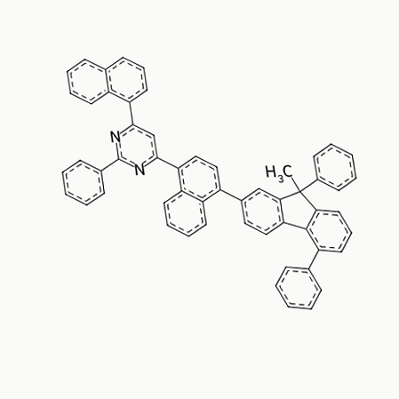 CC1(c2ccccc2)c2cc(-c3ccc(-c4cc(-c5cccc6ccccc56)nc(-c5ccccc5)n4)c4ccccc34)ccc2-c2c(-c3ccccc3)cccc21